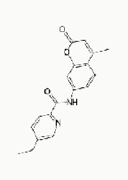 CCc1ccc(C(=O)Nc2ccc3c(C)cc(=O)oc3c2)nc1